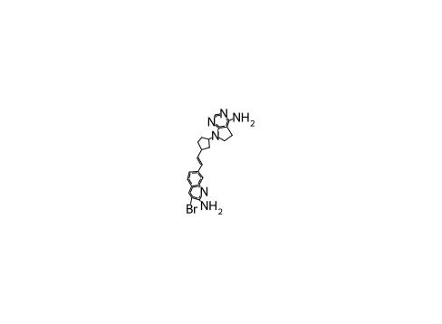 Nc1nc2cc(/C=C/C3CCC(N4CCc5c(N)ncnc54)C3)ccc2cc1Br